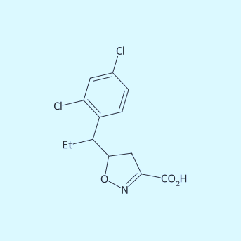 CCC(c1ccc(Cl)cc1Cl)C1CC(C(=O)O)=NO1